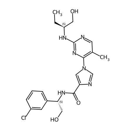 CC[C@@H](CO)Nc1ncc(C)c(-n2cnc(C(=O)N[C@H](CO)c3cccc(Cl)c3)c2)n1